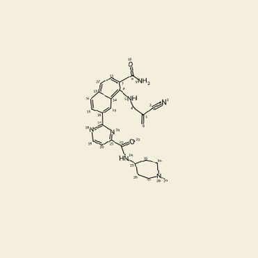 C=C(C#N)CNc1c(C(N)=O)ccc2ccc(-c3nccc(C(=O)NC4CCN(C)CC4)n3)cc12